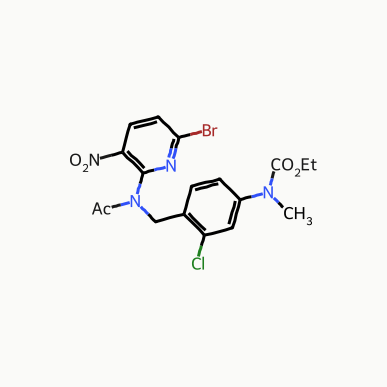 CCOC(=O)N(C)c1ccc(CN(C(C)=O)c2nc(Br)ccc2[N+](=O)[O-])c(Cl)c1